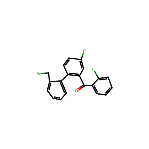 O=C(c1ccccc1F)c1cc(Cl)ccc1-c1ccccc1CBr